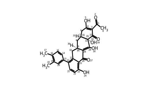 CC(=O)C1=C(O)C[C@@H]2C[C@@H]3Cc4c(-c5ccc(C)c(C)c5)ccc(O)c4C(=O)C3=C(O)[C@]2(O)C1=O